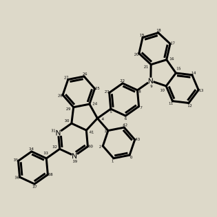 C1=CCC(C2(c3ccc(-n4c5ccccc5c5ccccc54)cc3)c3ccccc3C3N=C(c4ccccc4)N=CC32)C=C1